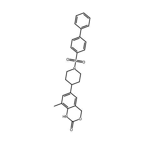 Cc1cc(C2CCN(S(=O)(=O)c3ccc(-c4ccccc4)cc3)CC2)cc2c1NC(=O)OC2